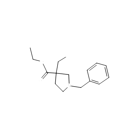 CCOC(=O)C1(CI)CCN(Cc2ccccc2)C1